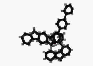 c1ccc(-c2ccc(-c3cccc(-c4cccc5sc6cccc(-n7c8ccccc8c8cc9sc%10ccccc%10c9cc87)c6c45)c3)cc2)cc1